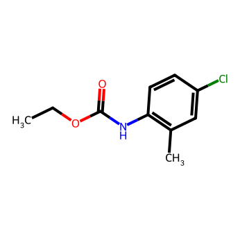 CCOC(=O)Nc1ccc(Cl)cc1C